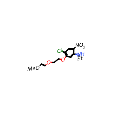 CCNc1cc(OCCOCCOC)c(Cl)cc1[N+](=O)[O-]